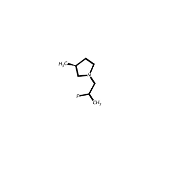 CC(F)CN1CC[C@H](C)C1